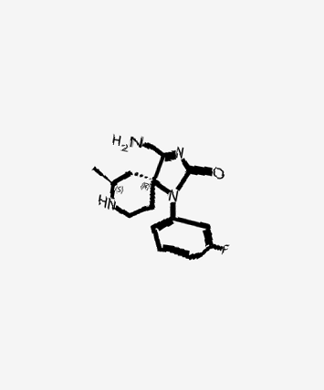 C[C@H]1C[C@]2(CCN1)C(N)=NC(=O)N2c1cccc(F)c1